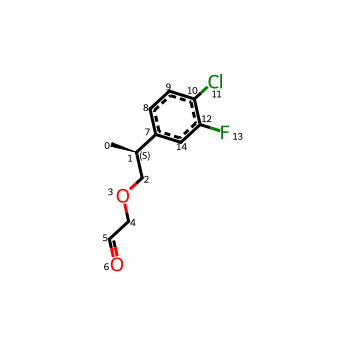 C[C@H](COCC=O)c1ccc(Cl)c(F)c1